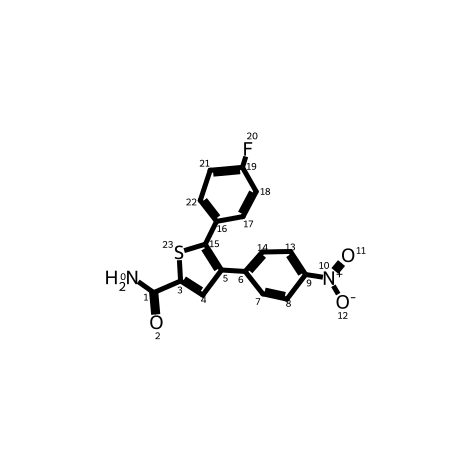 NC(=O)c1cc(-c2ccc([N+](=O)[O-])cc2)c(-c2ccc(F)cc2)s1